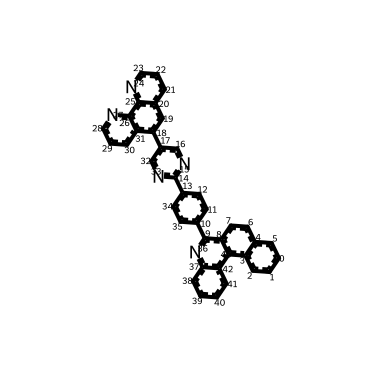 c1ccc2c(c1)ccc1c(-c3ccc(-c4ncc(-c5cc6cccnc6c6ncccc56)cn4)cc3)nc3ccccc3c12